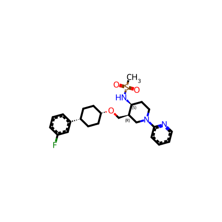 CS(=O)(=O)N[C@H]1CCN(c2ccccn2)C[C@H]1CO[C@H]1CC[C@@H](c2cccc(F)c2)CC1